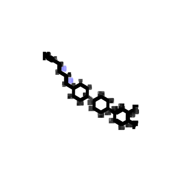 N#C/C=C/C=C/C1CCC([C@H]2CC[C@H](c3ccc(F)c(F)c3)CC2)CC1